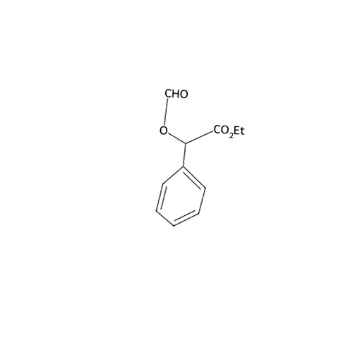 CCOC(=O)C(OC=O)c1ccccc1